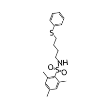 Cc1cc(C)c(S(=O)(=O)NCCCCSc2ccccc2)c(C)c1